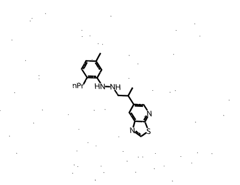 CCCc1ccc(C)cc1NNCC(C)c1cnc2scnc2c1